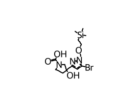 C[Si](C)(C)CCOCn1nc(C2(O)CCN(C(=O)O)C2)cc1Br